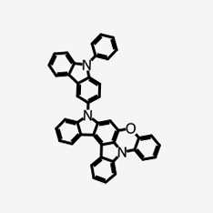 c1ccc(-n2c3ccccc3c3cc(-n4c5ccccc5c5c6c7ccccc7n7c6c(cc54)Oc4ccccc4-7)ccc32)cc1